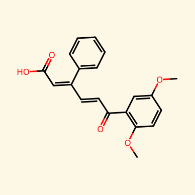 COc1ccc(OC)c(C(=O)C=CC(=CC(=O)O)c2ccccc2)c1